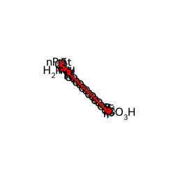 CCCN(OCC)C(=O)C1=Cc2sc(CN3C[C@H]4C[C@@H]3CN4C(=O)CCOCCOCCOCCOCCOCCOCCOCCOCCOCCOCCC(=O)Oc3c(F)c(F)c(S(=O)(=O)O)c(F)c3F)cc2N=C(N)C1